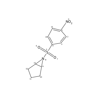 O=[N+]([O-])c1ccc(S(=O)(=O)N2C3CCCC32)cc1